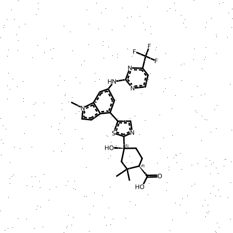 Cn1ccc2c(-c3cnc([C@]4(O)CC[C@@H](C(=O)O)C(C)(C)C4)s3)cc(Nc3nccc(C(F)(F)F)n3)cc21